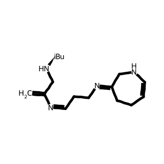 C=C(CN[C@H](C)CC)/N=C\CC/N=C1\CCC=CNC1